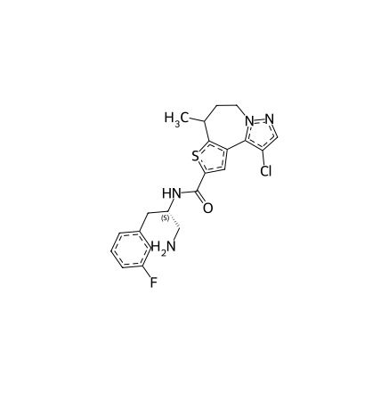 CC1CCn2ncc(Cl)c2-c2cc(C(=O)N[C@H](CN)Cc3cccc(F)c3)sc21